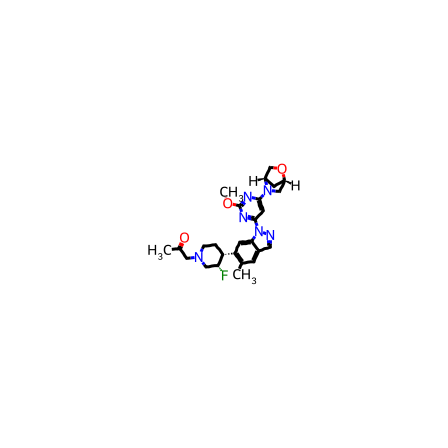 COc1nc(N2C[C@@H]3C[C@H]2CO3)cc(-n2ncc3cc(C)c([C@H]4CCN(CC(C)=O)C[C@H]4F)cc32)n1